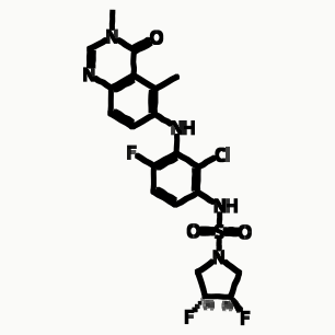 Cc1c(Nc2c(F)ccc(NS(=O)(=O)N3C[C@@H](F)[C@H](F)C3)c2Cl)ccc2ncn(C)c(=O)c12